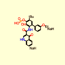 CCOc1cccc(-c2cc(C(C)(C)C)c(OP(=O)(O)O)cc2NC(=O)c2c[nH]c3ccccc3c2=O)c1.[NaH].[NaH]